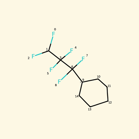 F[C](F)C(F)(F)C(F)(F)[C]1CCCCC1